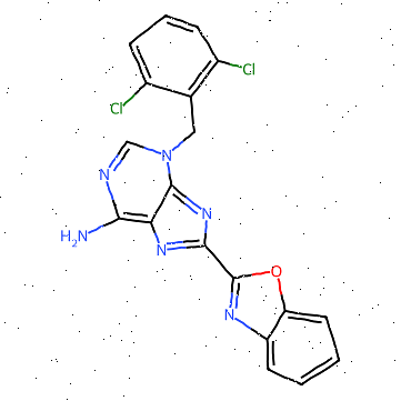 Nc1ncn(Cc2c(Cl)cccc2Cl)c2nc(-c3nc4ccccc4o3)nc1-2